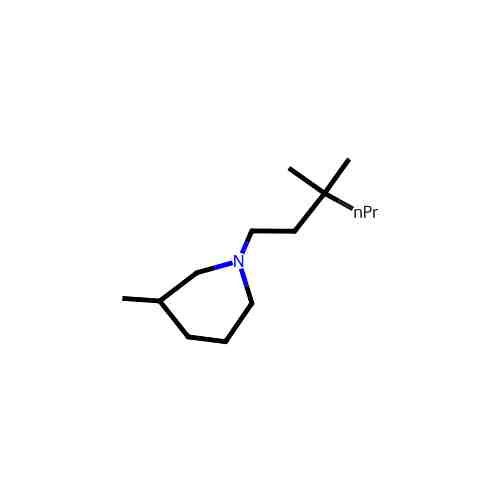 CCCC(C)(C)CCN1CCCC(C)C1